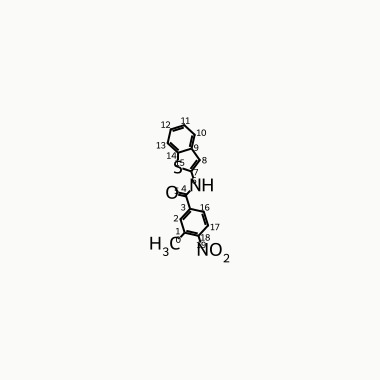 Cc1cc(C(=O)Nc2cc3ccccc3s2)ccc1[N+](=O)[O-]